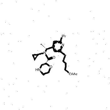 COCCCCc1cc([C@@H](C)N(C(=O)[C@H]2CNCCO2)C2CC2)cc(C(C)C)n1